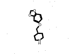 c1cc2c(cc1OCC1CCNCC1)OCO2